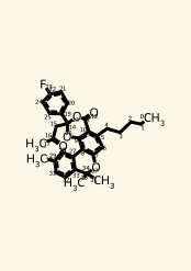 CCCCCc1cc2c(c3c1C(=O)OC(CC(C)=O)(c1ccc(F)cc1)O3)-c1cc(C)ccc1C(C)(C)O2